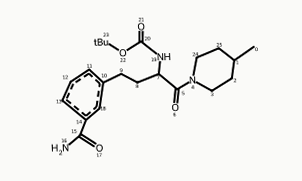 CC1CCN(C(=O)C(CCc2cccc(C(N)=O)c2)NC(=O)OC(C)(C)C)CC1